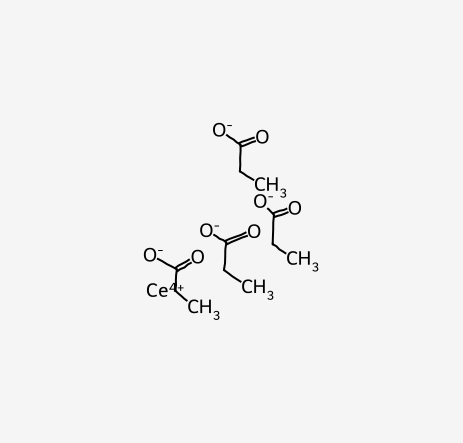 CCC(=O)[O-].CCC(=O)[O-].CCC(=O)[O-].CCC(=O)[O-].[Ce+4]